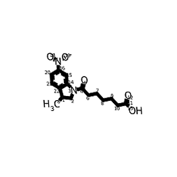 CC1CN(C(=O)CCCCCC(=O)O)c2cc([N+](=O)[O-])ccc21